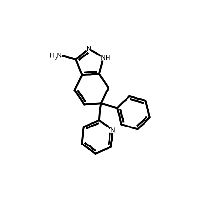 Nc1n[nH]c2c1C=CC(c1ccccc1)(c1ccccn1)C2